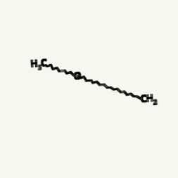 C=CCCCCCCCCCCCCCCCCCCOCCCCCCCCCC